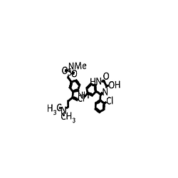 CNS(=O)(=O)Cc1ccc2[nH]cc(CCN(C)C)c2c1.O=C1Nc2ccc(Cl)cc2C(c2ccccc2Cl)=NC1O